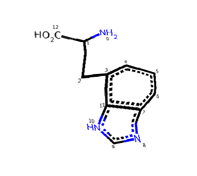 NC(Cc1cccc2nc[nH]c12)C(=O)O